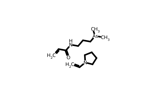 C=CC(=O)NCCC[As](C)C.C=CN1CCCC1